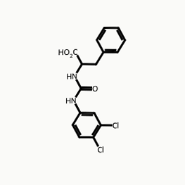 O=C(Nc1ccc(Cl)c(Cl)c1)NC(Cc1ccccc1)C(=O)O